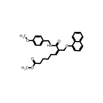 COC(=O)CCCCC=C(COc1cccc2ccccc12)C(=O)NCc1ccc(OC)cc1